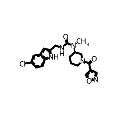 CN(C(=O)NCc1cc2cc(Cl)ccc2[nH]1)[C@@H]1CCCN(C(=O)c2cnoc2)C1